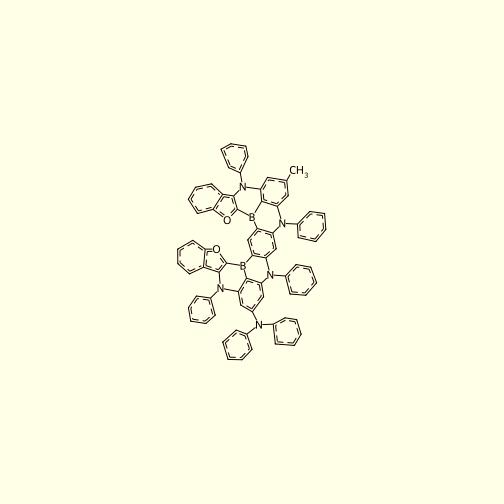 Cc1cc2c3c(c1)N(c1ccccc1)c1c(oc4ccccc14)B3c1cc3c(cc1N2c1ccccc1)N(c1ccccc1)c1cc(N(c2ccccc2)c2ccccc2)cc2c1B3c1oc3ccccc3c1N2c1ccccc1